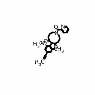 CC#Cc1cc(C)c(C2C(=O)CCCN(C(=O)c3ccccn3)CCCC2=O)c(OC)c1